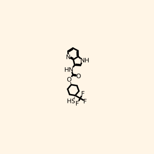 O=C(Nc1c[nH]c2cccnc12)O[C@H]1CC[C@](S)(C(F)(F)F)CC1